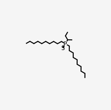 CCCCCCCCCCP(=S)(CCCCCCCCCC)C(C)CC